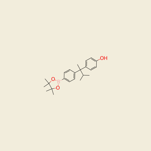 CC(C)C(C)(c1ccc(O)cc1)c1ccc(B2OC(C)(C)C(C)(C)O2)cc1